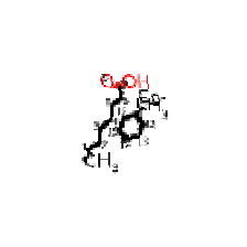 CCCCCCCC(=O)O.Cc1ccccc1.[Co]